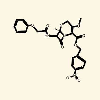 COC1=C(C(=O)OCc2ccc([N+](=O)[O-])cc2)N2C(=O)C(NC(=O)COc3ccccc3)[C@H]2SC1